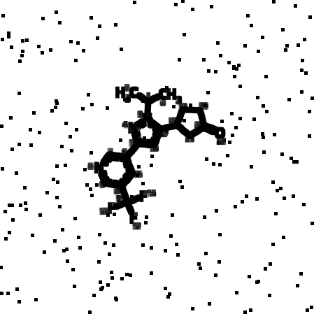 CC(C)n1nc(-c2cncc(C(F)(F)F)c2)cc1C1CCC(=O)C1